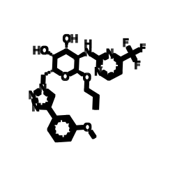 C=CCO[C@H]1O[C@H](Cn2cc(-c3cccc(OC)c3)nn2)[C@H](O)[C@H](O)[C@H]1Nc1nccc(C(F)(F)F)n1